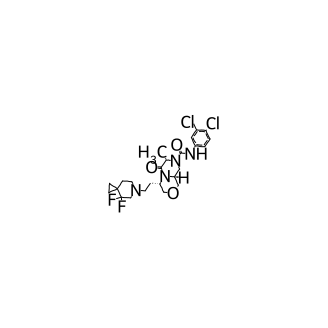 C[C@H]1C(=O)N2[C@@H](CCN3CCC4(CC4)C(F)(F)C3)COC[C@H]2CN1C(=O)Nc1ccc(Cl)c(Cl)c1